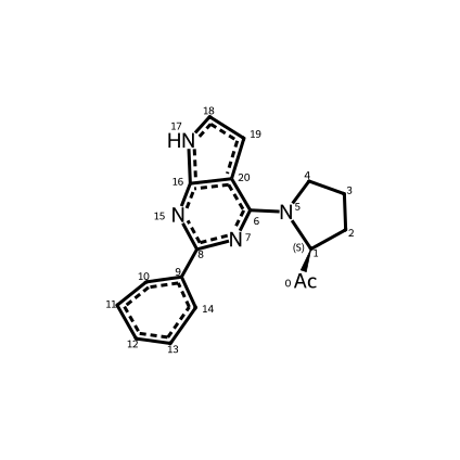 CC(=O)[C@@H]1CCCN1c1nc(-c2ccccc2)nc2[nH]ccc12